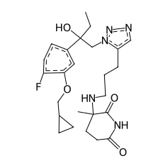 CCC(O)(Cn1nncc1CCCNC1(C)CCC(=O)NC1=O)c1ccc(F)c(OCC2CC2)c1